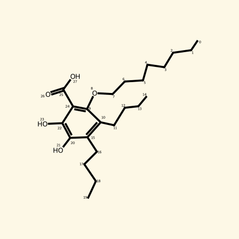 CCCCCCCCOc1c(CCCC)c(CCCC)c(O)c(O)c1C(=O)O